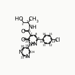 C[C@H](CO)NC(=O)c1cc(-c2ccc(Cl)cc2)nn(-c2cncnc2)c1=O